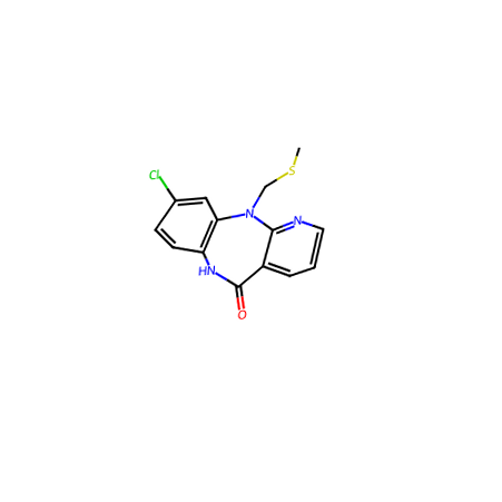 CSCN1c2cc(Cl)ccc2NC(=O)c2cccnc21